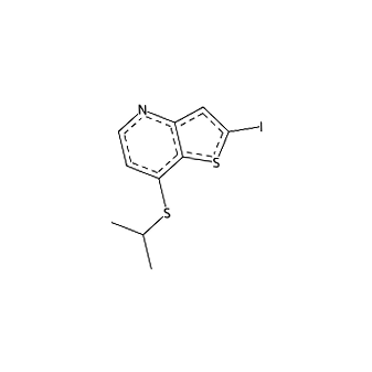 CC(C)Sc1ccnc2cc(I)sc12